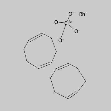 C1=C\CC/C=C\CC/1.C1=C\CC/C=C\CC/1.[O-][Cl+3]([O-])([O-])[O-].[Rh+]